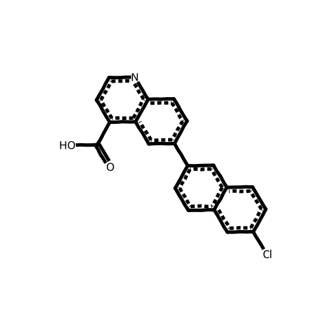 O=C(O)c1ccnc2ccc(-c3ccc4cc(Cl)ccc4c3)cc12